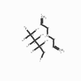 C=CCOCC=C.FCC(F)(F)C(F)(F)C(F)(F)F